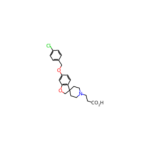 O=C(O)CCN1CCC2(CC1)COc1cc(OCc3ccc(Cl)cc3)ccc12